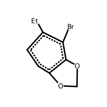 CCc1ccc2c(c1Br)OCO2